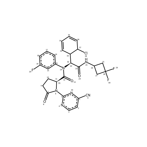 N#Cc1ccnc(N2C(=O)CC[C@H]2C(=O)N(c2cccc(F)c2)[C@H](C(=O)NC2CC(F)(F)C2)C2C=CC=CC2Cl)n1